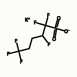 O=S(=O)([O-])C(F)(F)C(F)CCC(F)(F)F.[K+]